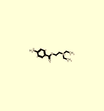 CCN(CC)CCSC(=O)c1ccc(N)cc1